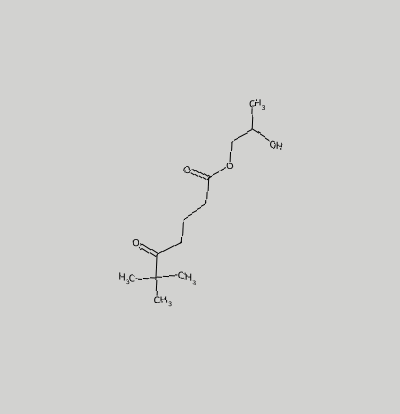 CC(O)COC(=O)CCCC(=O)C(C)(C)C